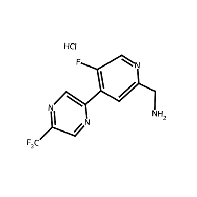 Cl.NCc1cc(-c2cnc(C(F)(F)F)cn2)c(F)cn1